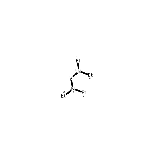 CC[N](CC)[V][N](CC)CC